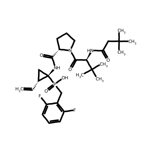 C=C[C@@H]1C[C@]1(NC(=O)[C@@H]1CCCN1C(=O)[C@@H](NC(=O)CC(C)(C)C)C(C)(C)C)P(=O)(O)Cc1c(F)cccc1F